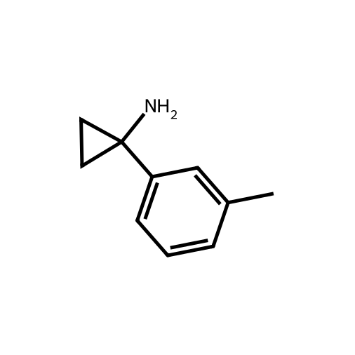 Cc1cccc(C2(N)CC2)c1